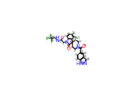 O=C(CN1C(=O)C2(CCN(C(=O)c3ccc4[nH]ncc4c3)CC2)c2c1ccc(F)c2Cl)NCC(F)(F)F